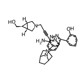 Nc1nnc(-c2ccccc2O)cc1N1CC2CCC(C1)N2c1ccnc(C#CCN2C[C@@H]3[C@@H](CO)[C@@H]3C2)c1